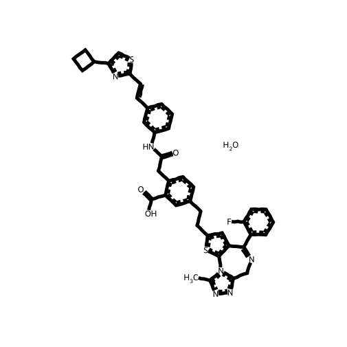 Cc1nnc2n1-c1sc(CCc3ccc(CC(=O)Nc4cccc(C=Cc5nc(C6CCC6)cs5)c4)c(C(=O)O)c3)cc1C(c1ccccc1F)=NC2.O